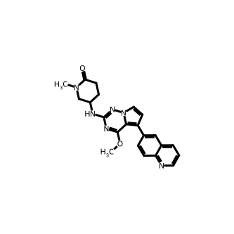 COc1nc(NC2CCC(=O)N(C)C2)nn2ccc(-c3ccc4ncccc4c3)c12